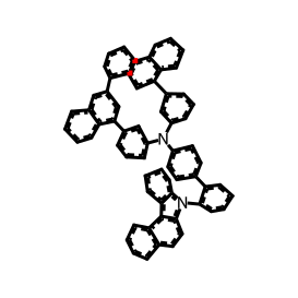 c1ccc(-c2cc(-c3cccc(N(c4ccc(-c5ccccc5-n5c6ccccc6c6c7ccccc7ccc65)cc4)c4cccc(-c5cccc6ccccc56)c4)c3)c3ccccc3c2)cc1